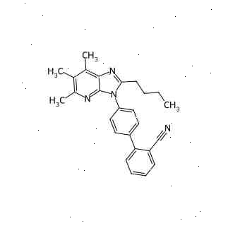 CCCCc1nc2c(C)c(C)c(C)nc2n1-c1ccc(-c2ccccc2C#N)cc1